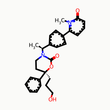 C[C@@H](c1ccc(-c2cccc(=O)n2C)cc1)N1CC[C@](CCCO)(c2ccccc2)OC1=O